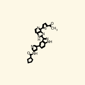 CC(=O)c1ccc(-c2nccc3[nH]c(-c4n[nH]c5ccc(-c6cncc(NC(=O)C7CCCC7)c6)cc45)nc23)s1